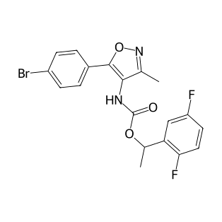 Cc1noc(-c2ccc(Br)cc2)c1NC(=O)OC(C)c1cc(F)ccc1F